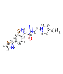 CC1CCN(CCNC(=O)c2nsc3cc(-c4nccs4)ccc23)CC1